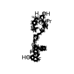 C#Cc1c(F)ccc2cc(O)cc(-c3ncc4c(N5CC6CCC(C5)N6)nc(OCCN5CCC(CCC6CN(c7cc([C@H](C(=O)N8C[C@H](O)C[C@H]8C(=O)N[C@@H](C)c8ccc(-c9scnc9C)cc8)C(C)C)on7)C6)CC5)nc4c3F)c12